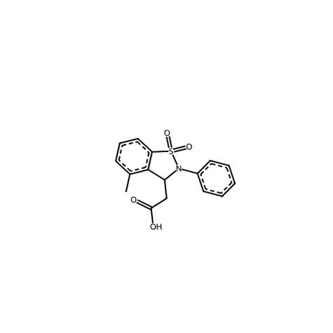 Cc1cccc2c1C(CC(=O)O)N(c1ccccc1)S2(=O)=O